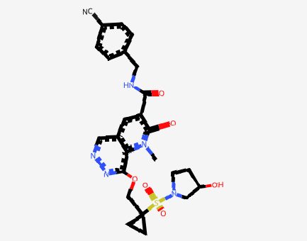 Cn1c(=O)c(C(=O)NCc2ccc(C#N)cc2)cc2cnnc(OCC3(S(=O)(=O)N4CCC(O)C4)CC3)c21